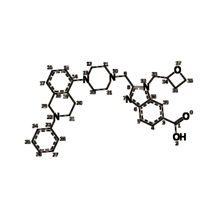 O=C(O)c1ccc2nc(CN3CCN(c4cccc5c4CCN(c4ccccc4)C5)CC3)n(CC3CCO3)c2c1